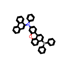 c1ccc(B(c2ccccc2)c2ccc3c4c(cccc24)Oc2cc(N(c4ccccc4)c4cc5ccccc5c5ccccc45)ccc2-3)cc1